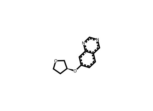 c1ncc2ccc(O[C@H]3CCOC3)cc2n1